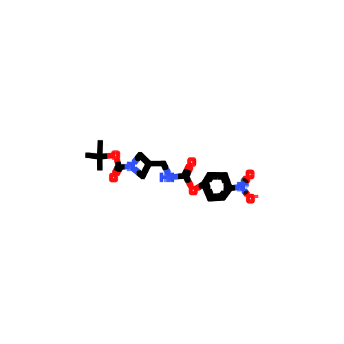 CC(C)(C)OC(=O)N1CC(CNC(=O)Oc2ccc([N+](=O)[O-])cc2)C1